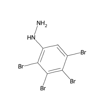 NNc1cc(Br)c(Br)c(Br)c1Br